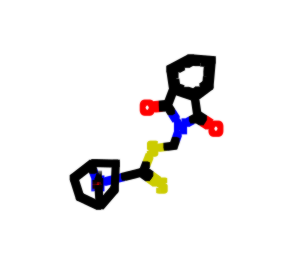 O=C1c2ccccc2C(=O)N1CSC(=S)N1CC2CCC(CC2)C1